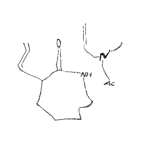 C=CC1CCCCNC1=O.C=CN(C)C(C)=O